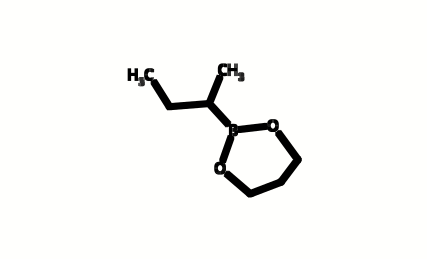 CCC(C)B1OCCCO1